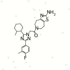 Cc1cc(-c2nc(C3CCCCC3C)n(CC(=O)N3CCc4nc(N)sc4CC3)n2)ccc1F